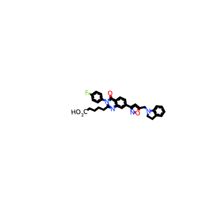 O=C(O)CCCCc1nc2cc(-c3cc(CN4CCc5ccccc54)on3)ccc2c(=O)n1-c1ccc(F)cc1